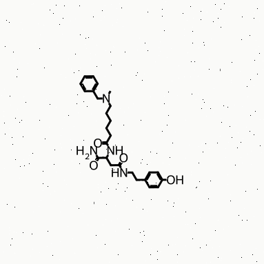 CN(CCCCCC(=O)NC(CC(=O)NCCc1ccc(O)cc1)C(N)=O)Cc1ccccc1